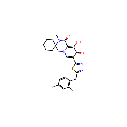 CN1C(=O)c2c(O)c(=O)c(-c3nnc(Cc4ccc(F)cc4F)s3)cn2CC12CCCCC2